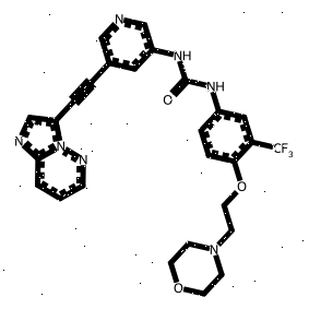 O=C(Nc1cncc(C#Cc2cnc3cccnn23)c1)Nc1ccc(OCCN2CCOCC2)c(C(F)(F)F)c1